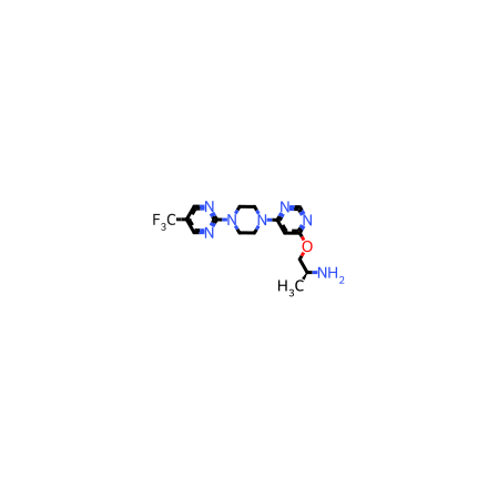 C[C@H](N)COc1cc(N2CCN(c3ncc(C(F)(F)F)cn3)CC2)ncn1